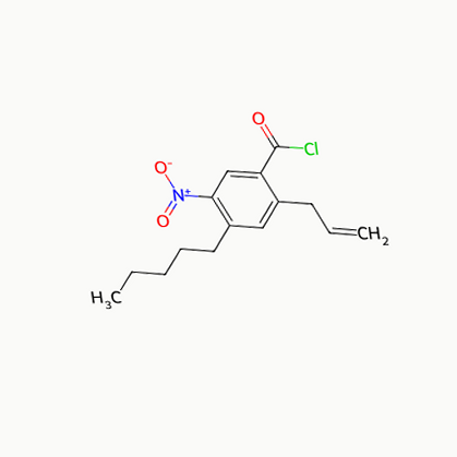 C=CCc1cc(CCCCC)c([N+](=O)[O-])cc1C(=O)Cl